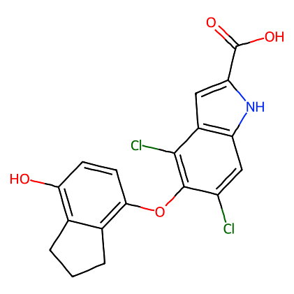 O=C(O)c1cc2c(Cl)c(Oc3ccc(O)c4c3CCC4)c(Cl)cc2[nH]1